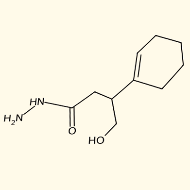 NNC(=O)CC(CO)C1=CCCCC1